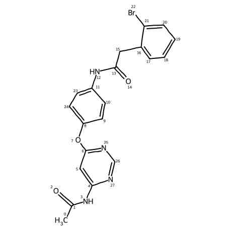 CC(=O)Nc1cc(Oc2ccc(NC(=O)Cc3ccccc3Br)cc2)ncn1